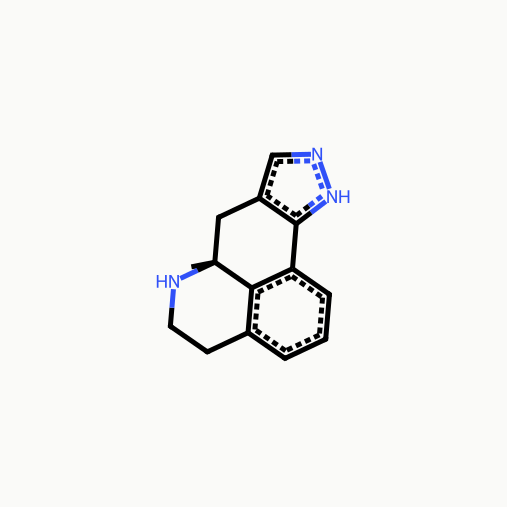 CC12Cc3cn[nH]c3-c3cccc(c31)CCN2